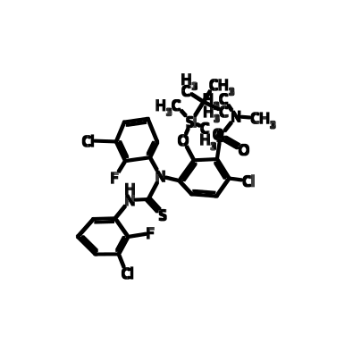 CN(C)S(=O)(=O)c1c(Cl)ccc(N(C(=S)Nc2cccc(Cl)c2F)c2cccc(Cl)c2F)c1O[Si](C)(C)C(C)(C)C